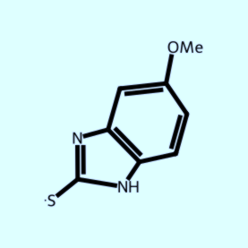 COc1ccc2[nH]c([S])nc2c1